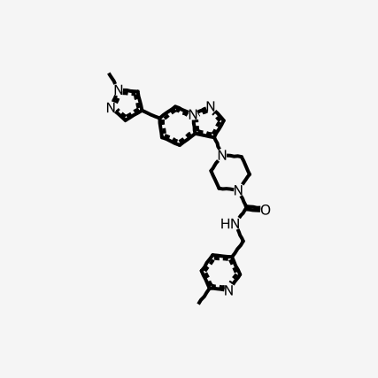 Cc1ccc(CNC(=O)N2CCN(c3cnn4cc(-c5cnn(C)c5)ccc34)CC2)cn1